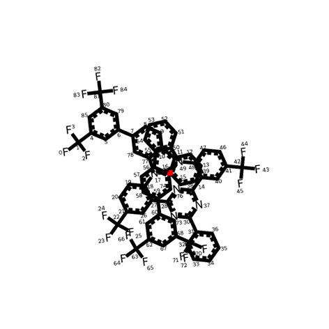 FC(F)(F)c1cc(-c2ccc3c4ccccc4n(-c4ccc(C(F)(F)F)cc4-c4nc(-c5ccccc5)nc(-c5cc(C(F)(F)F)ccc5-n5c6ccccc6c6ccc(-c7cc(C(F)(F)F)cc(C(F)(F)F)c7)cc65)n4)c3c2)cc(C(F)(F)F)c1